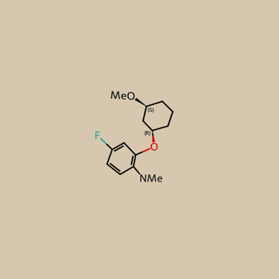 CNc1ccc(F)cc1O[C@@H]1CCC[C@H](OC)C1